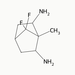 CC12C(N)CC(CC1N)C2(F)F